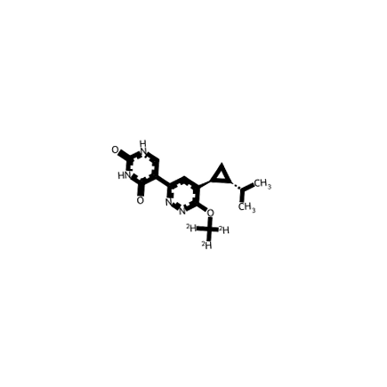 [2H]C([2H])([2H])Oc1nnc(-c2c[nH]c(=O)[nH]c2=O)cc1[C@H]1C[C@@H]1C(C)C